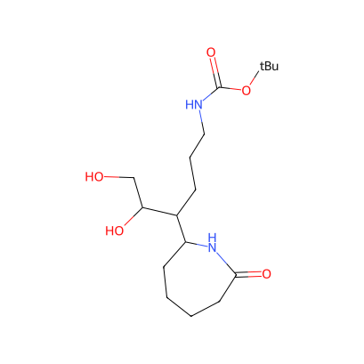 CC(C)(C)OC(=O)NCCCC(C(O)CO)C1CCCCC(=O)N1